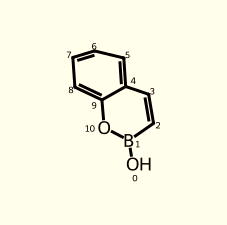 OB1C=Cc2ccccc2O1